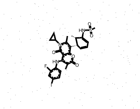 Cc1c(Nc2ccc(I)cc2F)c2c(=O)n(C3CC3)c(C)c([C@H]3C=CC=C(NS(C)(=O)=O)[C@H]3C)c2oc1=O